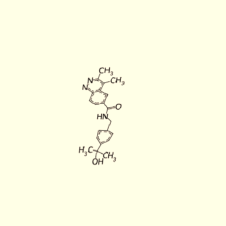 Cc1nnc2ccc(C(=O)NCc3ccc(C(C)(C)O)cc3)cc2c1C